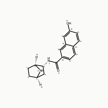 O=C(N[C@@H]1C[C@H]2CC[C@@H]1N2)c1ccc2ccc(O)cc2c1